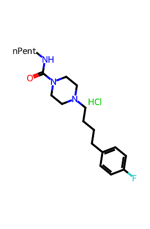 CCCCCNC(=O)N1CCN(CCCCc2ccc(F)cc2)CC1.Cl